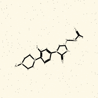 CC(=O)N1CCN(c2ccc(N3C[C@H](CNC(C)=S)OC3=O)cc2F)CC1